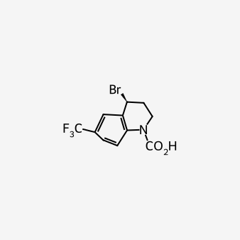 O=C(O)N1CC[C@H](Br)c2cc(C(F)(F)F)ccc21